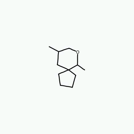 CC1COC(C)C2(CCCC2)C1